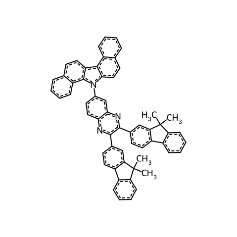 CC1(C)c2ccccc2-c2ccc(-c3nc4ccc(-n5c6ccc7ccccc7c6c6ccc7ccccc7c65)cc4nc3-c3ccc4c(c3)C(C)(C)c3ccccc3-4)cc21